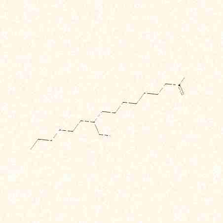 CCCCCCC(CO)CCCCCCCC(=O)O